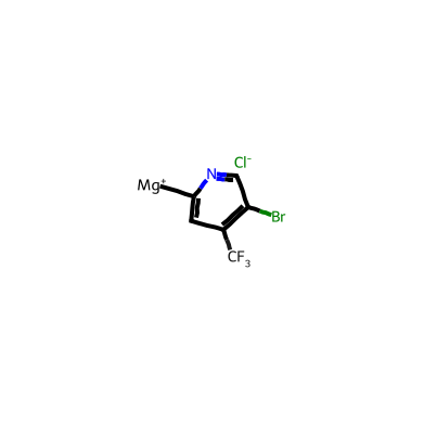 FC(F)(F)c1c[c]([Mg+])ncc1Br.[Cl-]